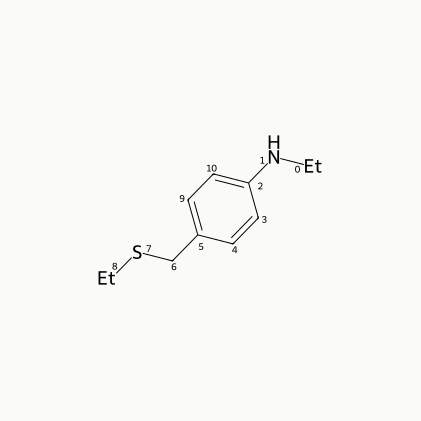 CCNc1ccc(CSCC)cc1